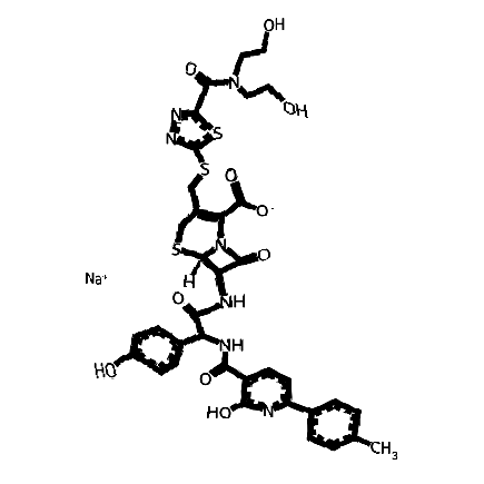 Cc1ccc(-c2ccc(C(=O)NC(C(=O)NC3C(=O)N4C(C(=O)[O-])=C(CSc5nnc(C(=O)N(CCO)CCO)s5)CS[C@@H]34)c3ccc(O)cc3)c(O)n2)cc1.[Na+]